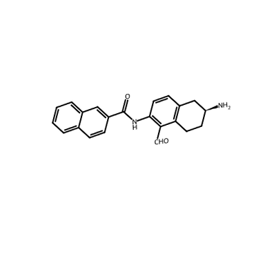 N[C@H]1CCc2c(ccc(NC(=O)c3ccc4ccccc4c3)c2C=O)C1